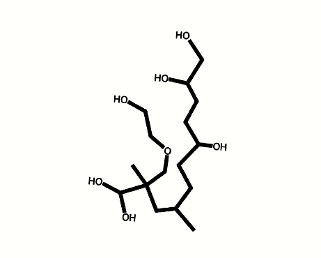 CC(CCC(O)CCC(O)CO)CC(C)(COCCO)C(O)O